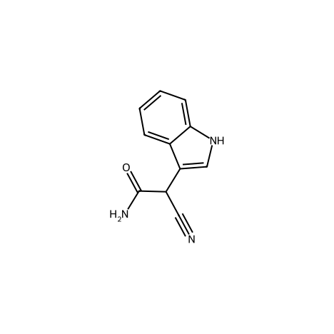 N#CC(C(N)=O)c1c[nH]c2ccccc12